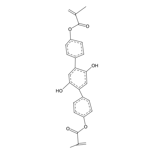 C=C(C)C(=O)Oc1ccc(-c2cc(O)c(-c3ccc(OC(=O)C(=C)C)cc3)cc2O)cc1